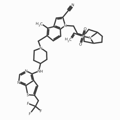 C=CS(=O)(=O)N1C2CCC1CN(CCn1c(C#N)cc3c(C)c(CN4CCC(Nc5ncnc6sc(CC(F)(F)F)cc56)CC4)ccc31)C2